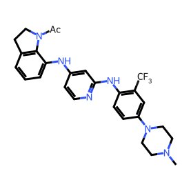 CC(=O)N1CCc2cccc(Nc3ccnc(Nc4ccc(N5CCN(C)CC5)cc4C(F)(F)F)c3)c21